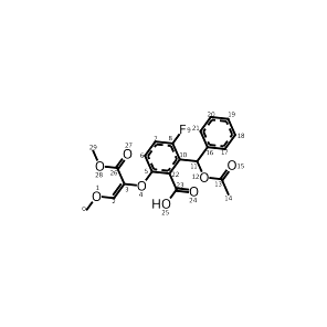 COC=C(Oc1ccc(F)c(C(OC(C)=O)c2ccccc2)c1C(=O)O)C(=O)OC